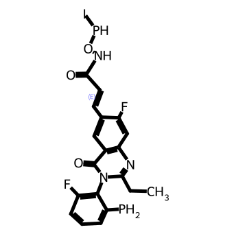 CCc1nc2cc(F)c(/C=C/C(=O)NOPI)cc2c(=O)n1-c1c(F)cccc1P